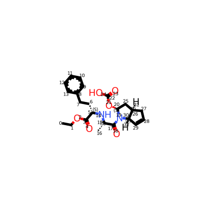 CCOC(=O)[C@H](CCc1ccccc1)N[C@@H](C)C(=O)N1[C@@H](OC(=O)O)C[C@H]2CC=C[C@@H]21